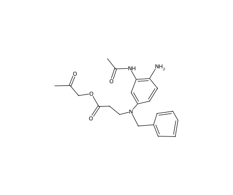 CC(=O)COC(=O)CCN(Cc1ccccc1)c1ccc(N)c(NC(C)=O)c1